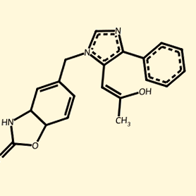 C/C(O)=C/c1c(-c2ccccc2)ncn1CC1=CC2NC(=O)OC2C=C1